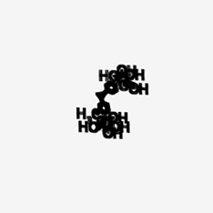 Cc1cc(C2CC2c2ccc([C@H]3O[C@H](CO)[C@@H](O)[C@H](O)[C@@H]3O)cc2)ccc1[C@H]1O[C@H](CO)[C@@H](O)[C@H](O)[C@@H]1O